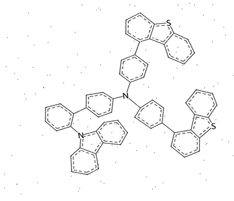 c1ccc(-n2c3ccccc3c3ccccc32)c(-c2ccc(N(c3ccc(-c4cccc5sc6ccccc6c45)cc3)c3ccc(-c4cccc5sc6ccccc6c45)cc3)cc2)c1